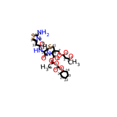 CC(=O)CC(=O)OCC1=C(C(=O)OC(C)OC(=O)OC2CCCCC2)N2C(=O)[C@@H](NC(=O)Cc3csc(N)n3)[C@@H]2SC1